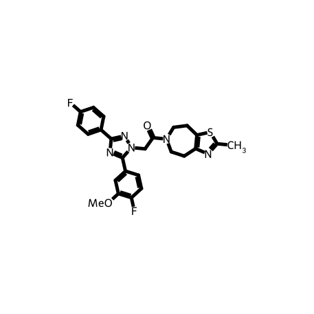 COc1cc(-c2nc(-c3ccc(F)cc3)nn2CC(=O)N2CCc3nc(C)sc3CC2)ccc1F